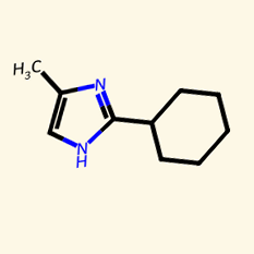 Cc1c[nH]c(C2CCCCC2)n1